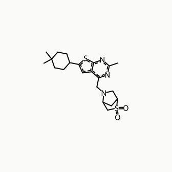 Cc1nc(CN2CC3CC2CS3(=O)=O)c2cc(C3CCC(C)(C)CC3)sc2n1